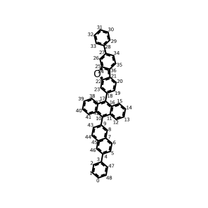 c1ccc(-c2ccc3cc(-c4c5ccccc5c(-c5ccc6c(c5)oc5cc(-c7ccccc7)ccc56)c5ccccc45)ccc3c2)cc1